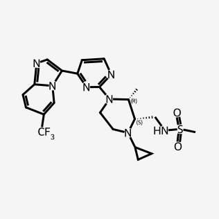 C[C@@H]1[C@H](CNS(C)(=O)=O)N(C2CC2)CCN1c1nccc(-c2cnc3ccc(C(F)(F)F)cn23)n1